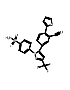 C#Cc1cc(-c2cc(C(F)(F)F)nn2-c2ccc(S(N)(=O)=O)cc2)ccc1-c1ccco1